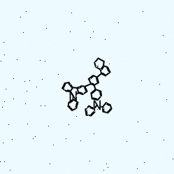 c1ccc(N(c2ccccc2)c2ccc(-c3cc(-c4cccc5c4CCCC5)ccc3-c3ccc4c(c3)c3ccccc3n4-c3ccccc3)cc2)cc1